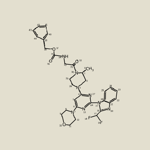 CC1CN(c2cc(N3CCOCC3)nc(-n3c(C(F)F)nc4ccccc43)n2)CCN1C(=O)CNC(=O)OCc1ccccc1